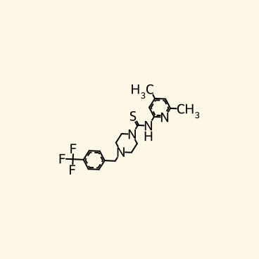 Cc1cc(C)nc(NC(=S)N2CCN(Cc3ccc(C(F)(F)F)cc3)CC2)c1